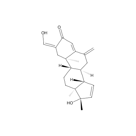 C=C1C[C@@H]2[C@H](CC[C@@]3(C)[C@H]2C=C[C@]3(C)O)[C@@]2(C)C/C(=C/O)C(=O)C=C12